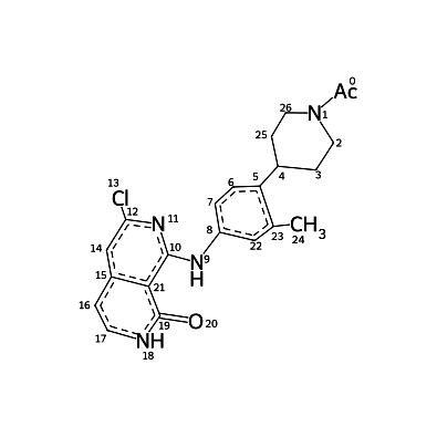 CC(=O)N1CCC(c2ccc(Nc3nc(Cl)cc4cc[nH]c(=O)c34)cc2C)CC1